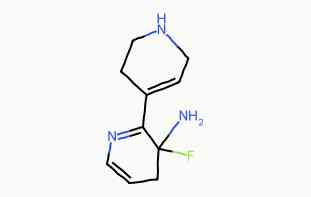 NC1(F)CC=CN=C1C1=CCNCC1